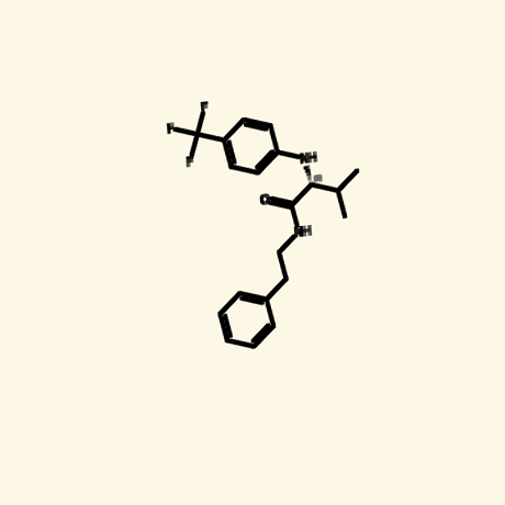 CC(C)[C@@H](Nc1ccc(C(F)(F)F)cc1)C(=O)NCCc1ccccc1